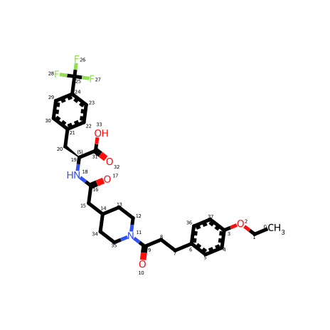 CCOc1ccc(CCC(=O)N2CCC(CC(=O)N[C@@H](Cc3ccc(C(F)(F)F)cc3)C(=O)O)CC2)cc1